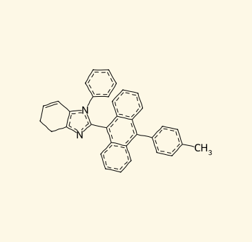 Cc1ccc(-c2c3ccccc3c(-c3nc4c(n3-c3ccccc3)C=CCC4)c3ccccc23)cc1